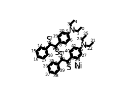 CCN(CC)c1ccc(C(=S)C(=S)c2ccccc2)cc1.CCN(CC)c1ccc(C(=S)C(=S)c2ccccc2)cc1.[Ni]